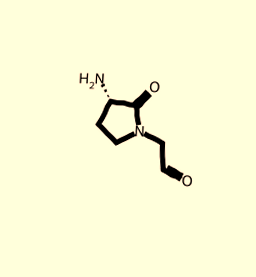 N[C@H]1CCN(CC=O)C1=O